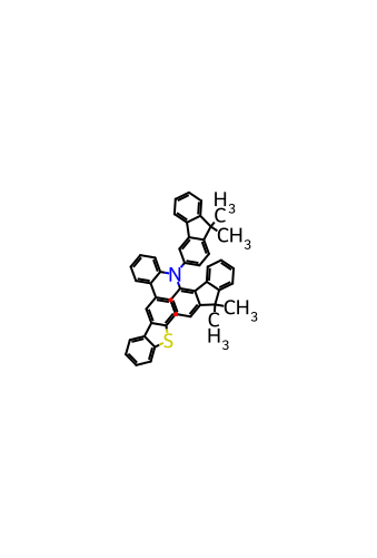 CC1(C)c2ccccc2-c2cc(N(c3ccccc3-c3ccc4sc5ccccc5c4c3)c3cccc4c3-c3ccccc3C4(C)C)ccc21